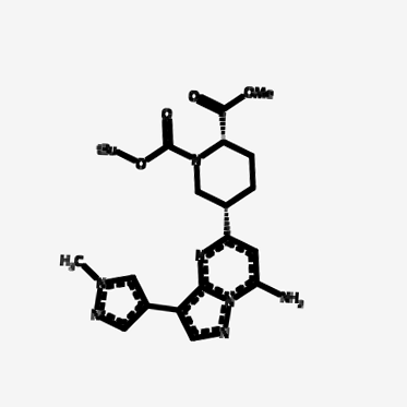 COC(=O)[C@@H]1CC[C@H](c2cc(N)n3ncc(-c4cnn(C)c4)c3n2)CN1C(=O)OC(C)(C)C